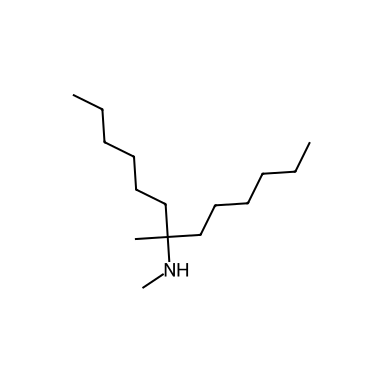 CCCCCCC(C)(CCCCCC)NC